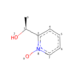 C[C@H](O)c1cccc[n+]1[O-]